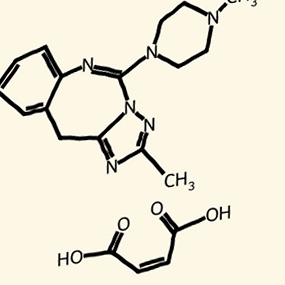 Cc1nc2n(n1)C(N1CCN(C)CC1)=Nc1ccccc1C2.O=C(O)/C=C\C(=O)O